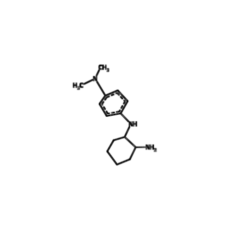 CN(C)c1ccc(NC2CCCCC2N)cc1